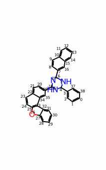 c1ccc(C2NC(c3ccc4ccccc4c3)=NC(c3ccc4ccc5oc6ccccc6c5c4c3)N2)cc1